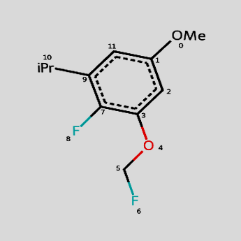 COc1cc(OCF)c(F)c(C(C)C)c1